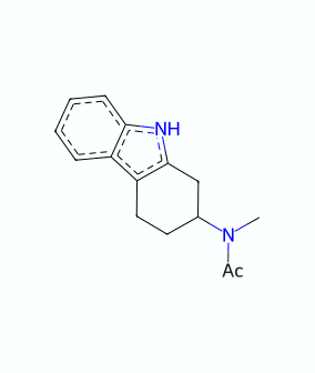 CC(=O)N(C)C1CCc2c([nH]c3ccccc23)C1